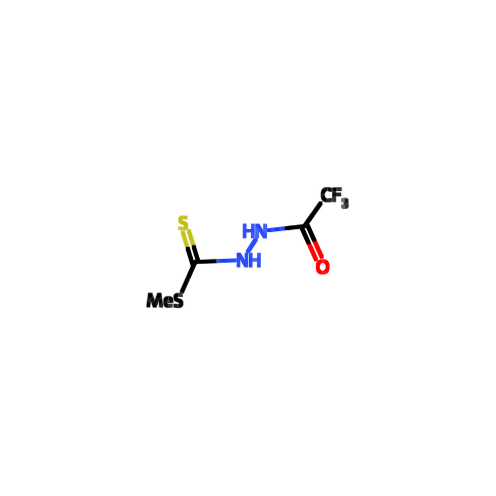 CSC(=S)NNC(=O)C(F)(F)F